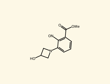 COC(=O)c1cccc(N2CC(O)C2)c1N=O